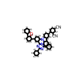 N#Cc1ccc(-c2ccc3c(c2)c2ccccc2n3-c2ccc(-c3cccc4c3oc3ccccc34)cc2-c2nc(-c3ccccc3)nc(-c3ccccc3)n2)c(C#N)c1